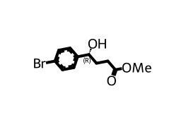 COC(=O)CC[C@@H](O)c1ccc(Br)cc1